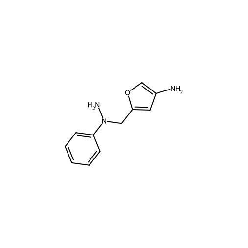 Nc1coc(CN(N)c2ccccc2)c1